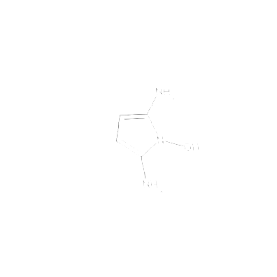 Nc1ccc(N)n1O